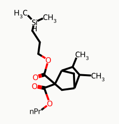 CCCOC(=O)C1(C(=O)OCCC[SiH](C)C)CC2CC1C(C)C2C